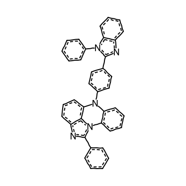 c1ccc(-c2nc3cccc4c3n2-c2ccccc2N4c2ccc(-c3nc4ccccc4n3-c3ccccc3)cc2)cc1